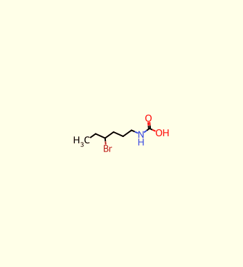 CCC(Br)CCCNC(=O)O